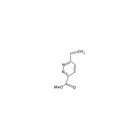 C=Cc1ccc(C(=O)OC)nn1